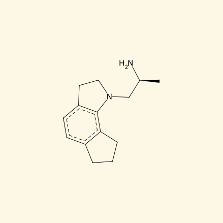 C[C@H](N)CN1CCc2ccc3c(c21)CCC3